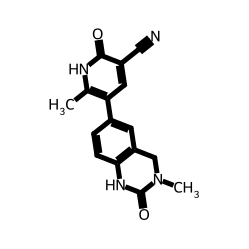 Cc1[nH]c(=O)c(C#N)cc1-c1ccc2c(c1)CN(C)C(=O)N2